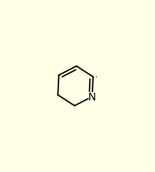 [C]1=NCCC=C1